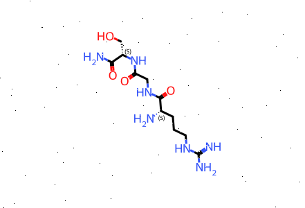 N=C(N)NCCC[C@H](N)C(=O)NCC(=O)N[C@@H](CO)C(N)=O